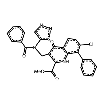 COC(=O)c1[nH]c2c(-c3ccccc3)c(Cl)ccc2c(=O)c1CN(C(=O)c1ccccc1)c1cnns1